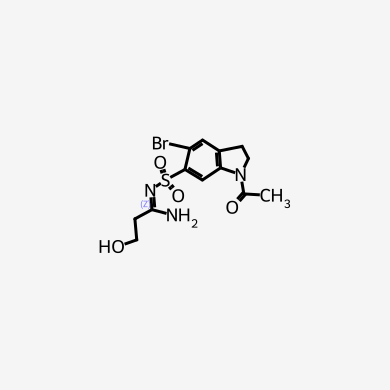 CC(=O)N1CCc2cc(Br)c(S(=O)(=O)/N=C(\N)CCO)cc21